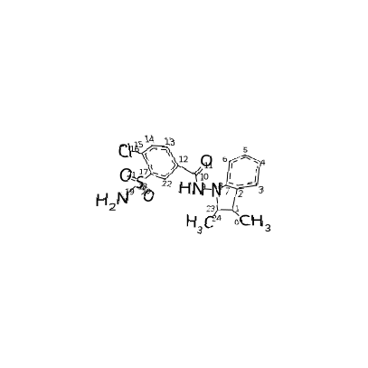 CC1c2ccccc2N(NC(=O)c2ccc(Cl)c(S(N)(=O)=O)c2)C1C